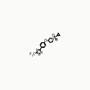 O=S(=O)(C1CC1)N1CC[C@H](Oc2ccc(-c3noc(C(F)(F)F)n3)cc2)C1